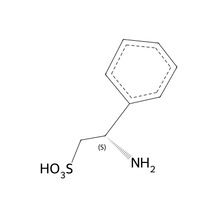 N[C@H](CS(=O)(=O)O)c1ccccc1